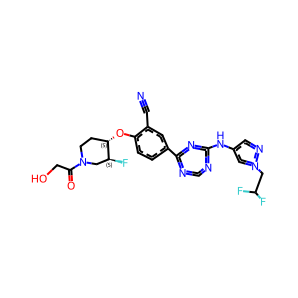 N#Cc1cc(-c2ncnc(Nc3cnn(CC(F)F)c3)n2)ccc1O[C@H]1CCN(C(=O)CO)C[C@@H]1F